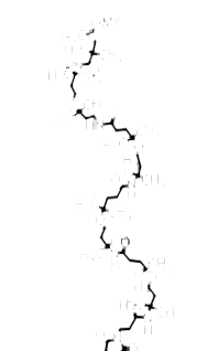 COP(C)CC(C)(C)C(=O)NC(C)(C)CCOC(C)(C)CCNC(=O)CCC(C)(C)OCCC(C)(C)NC(=O)CCC(C)(C)OCCC(C)(C)NC(=O)CCC(C)(C)OCCC(C)(C)NC(=O)CCN1C(=O)CC(C(C)C)C1=O